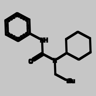 CC(C)(C)CN(C(=O)Nc1ccccc1)C1CCCCC1